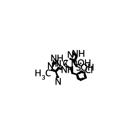 Cc1nc(N)nc(N[C@@H](C)C2=Cc3cccc(Cl)c3S(O)(O)N2c2cn[nH]c2)c1C#N